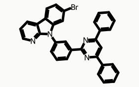 Brc1ccc2c3cccnc3n(-c3cccc(-c4nc(-c5ccccc5)cc(-c5ccccc5)n4)c3)c2c1